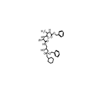 CC(NC(=O)OCc1ccccc1)C(=O)NC(C(=O)NCC(O)CP(=O)(CC1CCCCC1)OCc1ccccc1)C(C)C